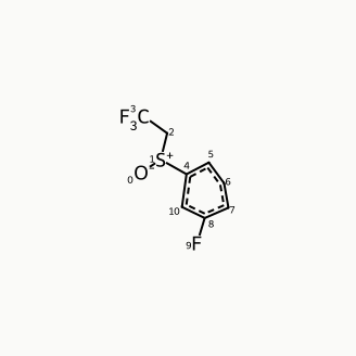 [O-][S+](CC(F)(F)F)c1cccc(F)c1